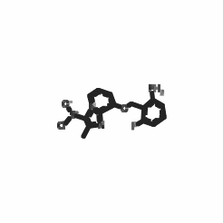 Cc1nc2c(OCc3c(F)cccc3P)cccn2c1[S+]([O-])Cl